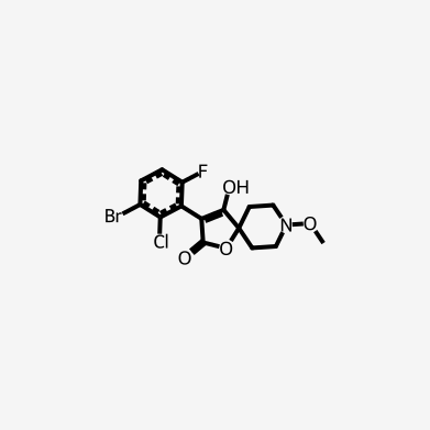 CON1CCC2(CC1)OC(=O)C(c1c(F)ccc(Br)c1Cl)=C2O